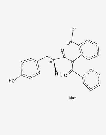 N[C@@H](Cc1ccc(O)cc1)C(=O)N(C(=O)c1ccccc1)c1ccccc1C(=O)[O-].[Na+]